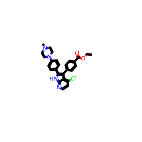 CCOC(=O)c1ccc(-c2c(-c3ccc(N4CCN(C)CC4)cc3)[nH]c3nccc(Cl)c23)cc1